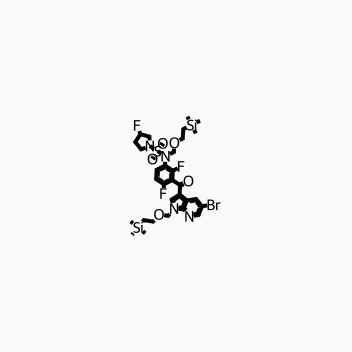 C[Si](C)(C)CCOCN(c1ccc(F)c(C(=O)c2cn(COCC[Si](C)(C)C)c3ncc(Br)cc23)c1F)S(=O)(=O)N1CCC(F)C1